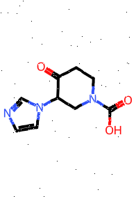 O=C1CCN(C(=O)O)CC1n1ccnc1